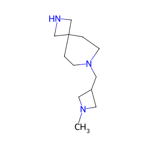 CN1CC(CN2CCC3(CC2)CNC3)C1